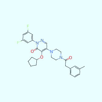 Cc1cccc(CC(=O)N2CCN(c3cnn(-c4cc(F)cc(F)c4)c(=O)c3OC3CCCC3)CC2)c1